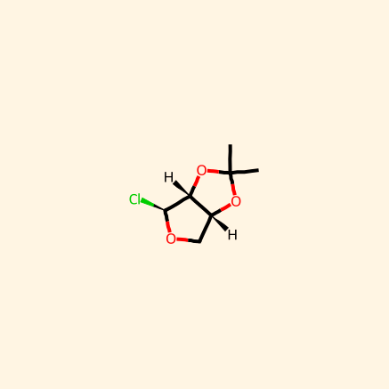 CC1(C)O[C@H]2[C@H](Cl)OC[C@H]2O1